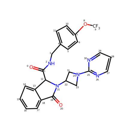 O=C(NCc1ccc(OC(F)(F)F)cc1)C1c2ccccc2C(=O)N1C1CN(c2ncccn2)C1